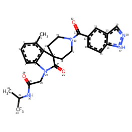 Cc1cccc2c1C1(CCN(C(=O)c3ccc4[nH]ncc4c3)CC1)C(=O)N2CC(=O)NC(C)C(F)(F)F